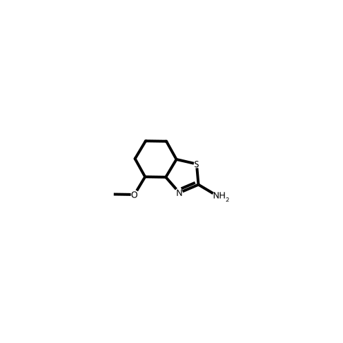 COC1CCCC2SC(N)=NC12